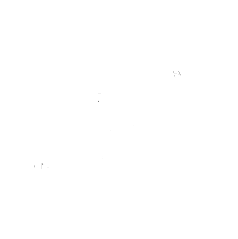 Cc1ccc(C(=O)Nc2cccc(C#N)c2)cc1Br